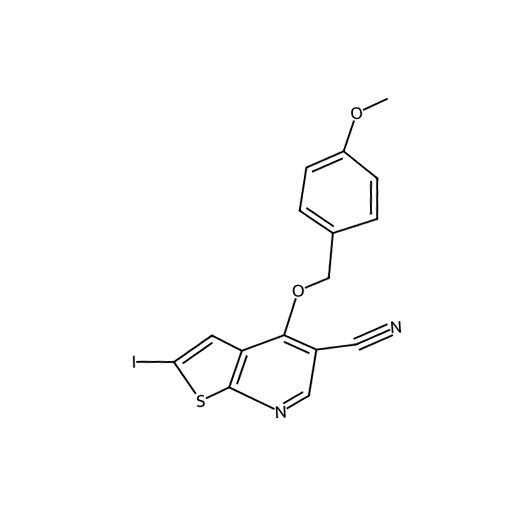 COc1ccc(COc2c(C#N)cnc3sc(I)cc23)cc1